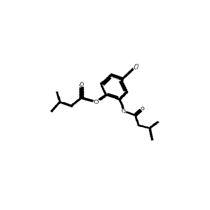 CC(C)CC(=O)Oc1ccc(Cl)cc1OC(=O)CC(C)C